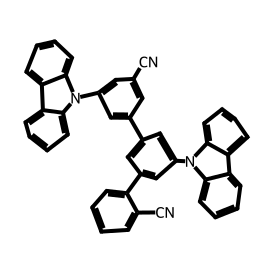 N#Cc1cc(-c2cc(-c3ccccc3C#N)cc(-n3c4ccccc4c4ccccc43)c2)cc(-n2c3ccccc3c3ccccc32)c1